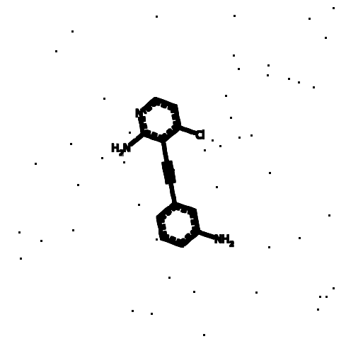 Nc1cccc(C#Cc2c(Cl)ccnc2N)c1